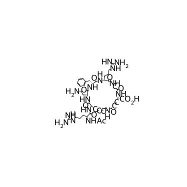 CC(=O)N[C@@H](CCCNC(=N)N)C(=O)N[C@H]1CCCNC(=O)CC[C@@H](C(=O)O)NC(=O)CNC(=O)[C@H](CCCNC(=N)N)NC(=O)[C@@H](Cc2ccccc2)NC(=O)[C@H](CCN)NC1=O